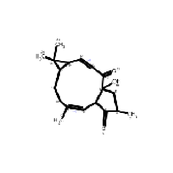 C/C1=C/C2C(=O)C(C)CC2(O)C(=O)/C=C\C2C(CC1)C2(C)C